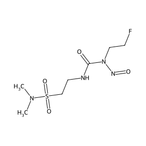 CN(C)S(=O)(=O)CCNC(=O)N(CCF)N=O